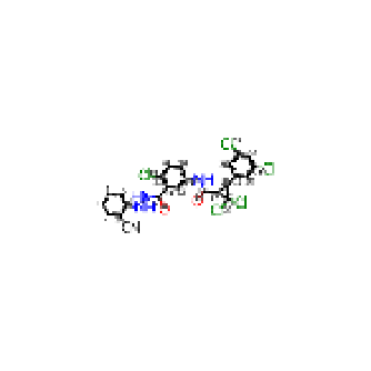 N#Cc1ccccc1NNC(=O)c1cc(NC(=O)C2C(c3cc(Cl)cc(Cl)c3)C2(Cl)Cl)ccc1Cl